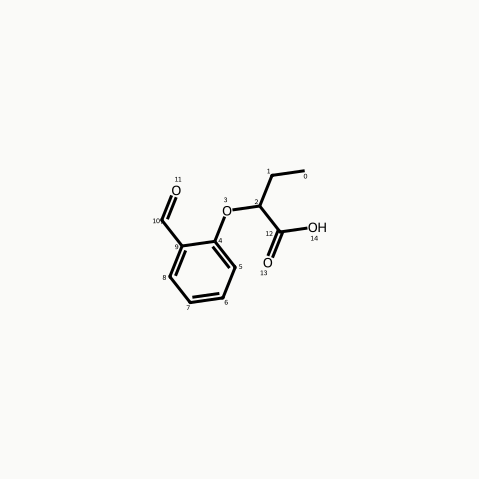 CCC(Oc1ccccc1[C]=O)C(=O)O